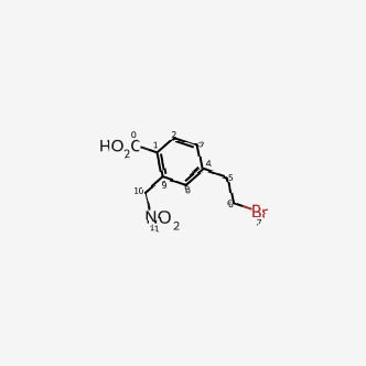 O=C(O)c1ccc(CCBr)cc1C[N+](=O)[O-]